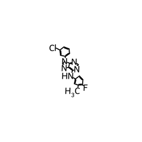 Cc1cc(Nc2ncnc3c2ncn3-c2cccc(Cl)c2)ccc1F